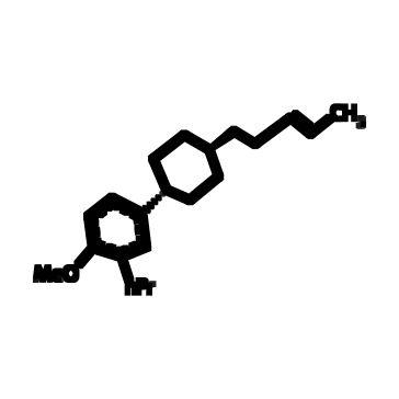 CC=CCC[C@H]1CC[C@H](c2ccc(OC)c(CCC)c2)CC1